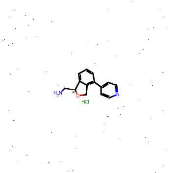 Cl.NC[C@@H]1OCc2c(-c3ccncc3)cccc21